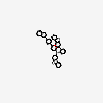 c1ccc(N(c2ccc(-c3ccc(-c4ccc5ccccc5c4)cc3)cc2)c2ccc3oc4ccccc4c3c2)c(-c2ccc3c(c2)sc2ccccc23)c1